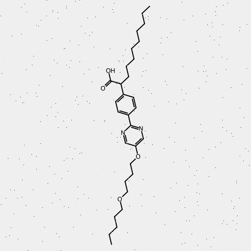 CCCCCCCCCC(C(=O)O)c1ccc(-c2ncc(OCCCCOCCCCC)cn2)cc1